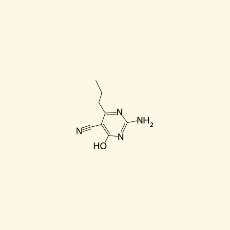 CCCc1nc(N)nc(O)c1C#N